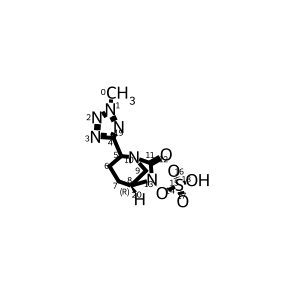 Cn1nnc(C2CC[C@@H]3CN2C(=O)N3OS(=O)(=O)O)n1